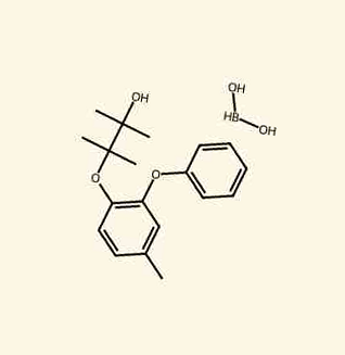 Cc1ccc(OC(C)(C)C(C)(C)O)c(Oc2ccccc2)c1.OBO